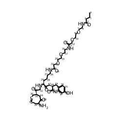 CCCC(=O)NCCOCCOCC(=O)NCCOCCOCC(=O)NCCCC[C@H](NCC(=O)[C@@H]1CSSC[C@H](N)C(=O)C1)C(=O)C[C@@H](Cc1ccc(O)cc1)C(N)=O